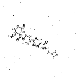 O=C(NCCC1CCC1)c1ccc(N2CCN(C(=O)c3cc(F)ccc3C(F)(F)F)CC2)nn1